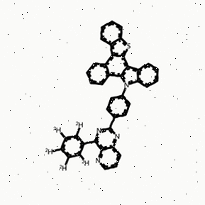 [2H]c1c([2H])c([2H])c(-c2nc(-c3ccc(-n4c5ccccc5c5c6sc7ccccc7c6c6ccccc6c54)cc3)nc3cccnc23)c([2H])c1[2H]